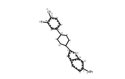 CCCc1ccc2cc(C3CCC(c4ccc(C(F)(F)F)c(F)c4)CC3)sc2c1